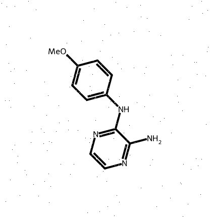 COc1ccc(Nc2nccnc2N)cc1